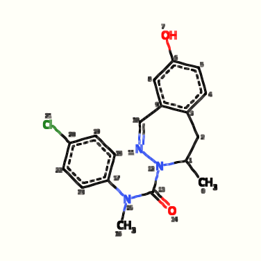 CC1Cc2ccc(O)cc2C=NN1C(=O)N(C)c1ccc(Cl)cc1